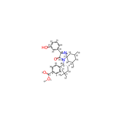 COC(=O)c1ccc([C@@H](CCC(C)(C)C)N2C(=O)C(c3cccc(O)c3)=NC23CC(C)CC(C)C3)cc1